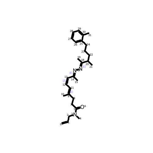 C=CCN(C)C(=O)CC/C(C)=C/C=C\C(C)=N\N=C(/C)C(C)CCCc1ccccc1C